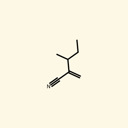 C=C(C#N)C(C)CC